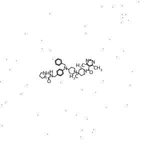 Cc1ncnc(C)c1C(=O)N1CCC(C)(N2CCC(N(Cc3ccccc3)c3ccc(CNC(=O)[C@@H]4CCCN4)cc3)CC2)CC1